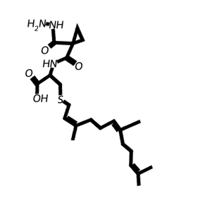 CC(C)=CCCC(C)=CCCC(C)=CCSCC(NC(=O)C1(C(=O)NN)CC1)C(=O)O